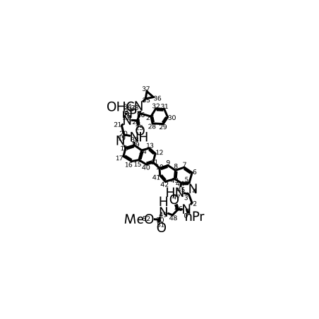 CCCN(Cc1nc2ccc3cc(-c4ccc5c(ccc6nc(CN(CCC)C(=O)[C@@H](c7ccccc7)N(C=O)C7CC7)[nH]c65)c4)ccc3c2[nH]1)C(=O)CNC(=O)OC